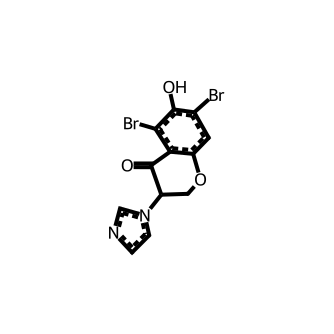 O=C1c2c(cc(Br)c(O)c2Br)OCC1n1ccnc1